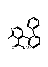 CNC(=O)c1c(-c2ccccc2-c2ccccc2)ccnc1C